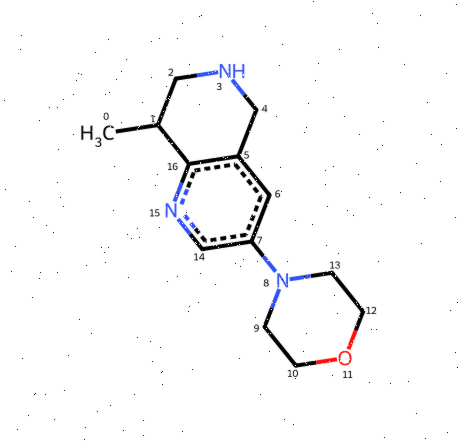 CC1CNCc2cc(N3CCOCC3)cnc21